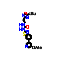 COc1cncc(-c2ccc3nc(NC(=O)NCCc4noc(C(C)(C)C)n4)sc3c2)c1